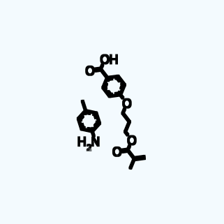 C=C(C)C(=O)OCCCOc1ccc(C(=O)O)cc1.Cc1ccc(N)cc1